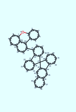 c1ccc2c(c1)Oc1cccc3ccc(-c4cccc5c4-c4ccccc4C54c5ccccc5-c5cc6ccccc6cc54)c-2c13